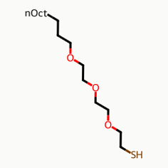 CCCCCCCCCCCOCCOCCOCCS